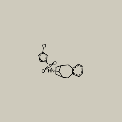 O=S(=O)(NC1C2CCC1Cc1ccccc1C2)c1ccc(Cl)s1